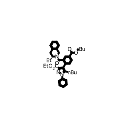 CCCCc1c(-c2ccc(C(=O)OC(C)(C)C)cc2C(=O)N2Cc3ccccc3C[C@H]2CC)c(C(=O)OCC)nn1-c1ccccc1